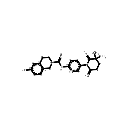 CC1(C)CCC(=O)N(c2ccc(OC(=O)N3CCc4cc(F)ccc4C3)nc2)C1=O